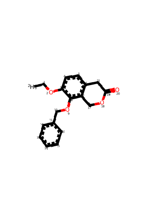 [2H]COc1ccc2c(c1OCc1ccccc1)COC(=O)C2